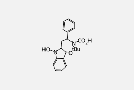 CC(C)(C)N(C(=O)O)C(CC1C(=O)c2ccccc2N1O)c1ccccc1